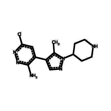 Cc1c(-c2cc(Cl)nnc2N)cnn1C1CCNCC1